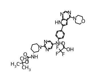 CC(C)(C)OC(=O)N[C@@H]1CCCN(c2ncc(Nc3ccc(-c4cc5c(N6CCOCC6)ncnc5[nH]4)cc3)cn2)C1.O=C(O)C(F)(F)F